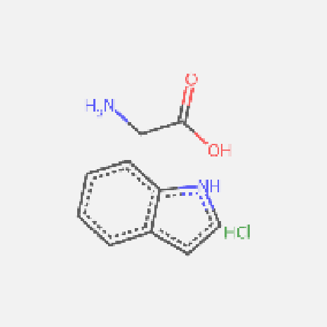 Cl.NCC(=O)O.c1ccc2[nH]ccc2c1